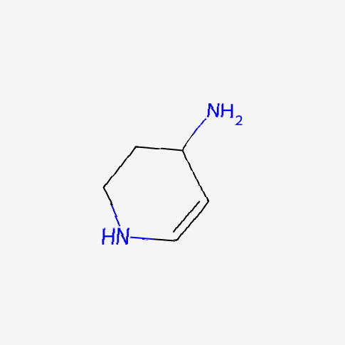 NC1C=CNCC1